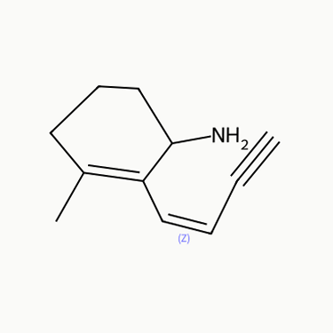 C#C/C=C\C1=C(C)CCCC1N